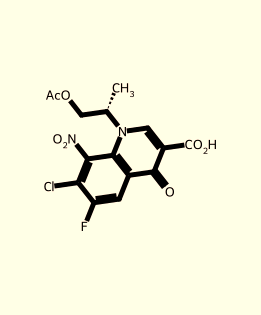 CC(=O)OC[C@H](C)n1cc(C(=O)O)c(=O)c2cc(F)c(Cl)c([N+](=O)[O-])c21